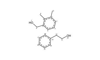 Cc1cccc(CO)c1C.OCCc1ccccc1